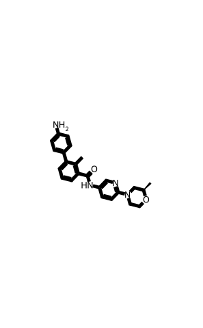 Cc1c(C(=O)Nc2ccc(N3CCO[C@H](C)C3)nc2)cccc1-c1ccc(N)cc1